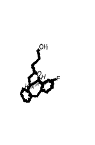 OCCCC1C[C@@H]2c3ccccc3Cc3ccc(F)cc3[C@@H]2O1